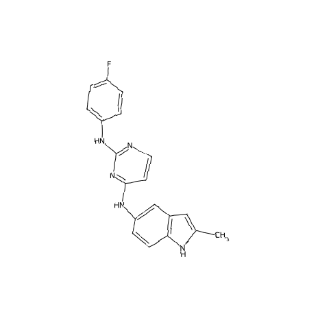 Cc1cc2cc(Nc3ccnc(Nc4ccc(F)cc4)n3)ccc2[nH]1